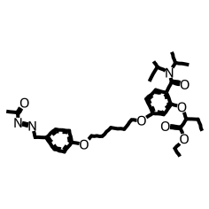 CCOC(=O)C(CC)Oc1cc(OCCCCCOc2ccc(CN=NC(C)=O)cc2)ccc1C(=O)N(C(C)C)C(C)C